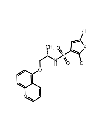 C[C@@H](COc1cccc2ncccc12)NS(=O)(=O)c1cc(Cl)sc1Cl